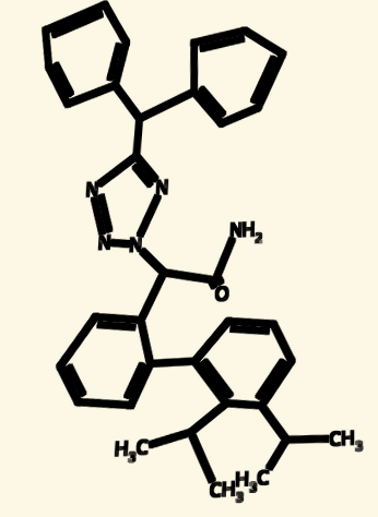 CC(C)c1cccc(-c2ccccc2C(C(N)=O)n2nnc(C(c3ccccc3)c3ccccc3)n2)c1C(C)C